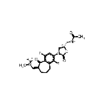 CC(=O)NC[C@H]1CN(c2cc(F)c3c(c2F)CCCC(=CN(C)C)C3=O)C(=O)O1